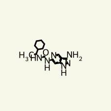 CC(NC(=O)Nc1cc2[nH]nc(N)c2cn1)C1CCCCC1